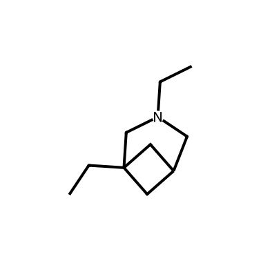 CCN1CC2CC(CC)(C2)C1